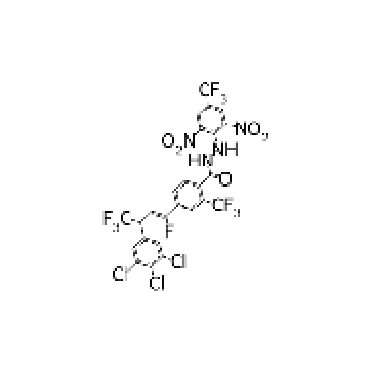 O=C(NNc1c([N+](=O)[O-])cc(C(F)(F)F)cc1[N+](=O)[O-])c1ccc(C(F)=CC(c2cc(Cl)c(Cl)c(Cl)c2)C(F)(F)F)cc1C(F)(F)F